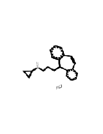 C1=Cc2ccccc2C(CCCNC2CC2)c2ccccc21.Cl